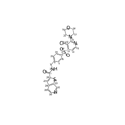 O=C(NCc1ccc(S(=O)(=O)c2ccnc(N3CCOCC3)c2Cl)cc1)c1cc2ccncc2s1